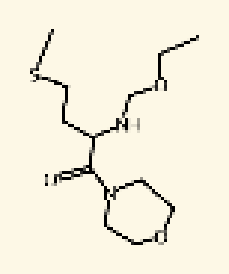 CCOCNC(CCSC)C(=O)N1CCOCC1